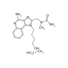 CC(=O)O.CN(Cc1nc2c(N)nc3ccccc3c2n1CCCCO)C(N)=O